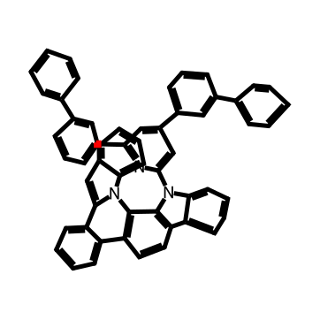 c1ccc(-c2cccc(-c3cc(-c4cccc(-c5ccccc5)c4)nc(-n4c5ccccc5c5ccc6c7ccccc7c7cc8ccccc8n7c6c54)c3)c2)cc1